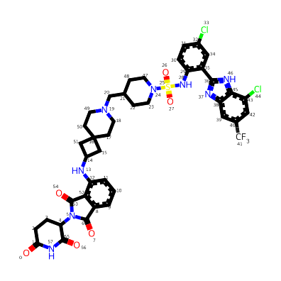 O=C1CCC(N2C(=O)c3cccc(NC4CC5(CCN(CC6CCN(S(=O)(=O)Nc7ccc(Cl)cc7-c7nc8cc(C(F)(F)F)cc(Cl)c8[nH]7)CC6)CC5)C4)c3C2=O)C(=O)N1